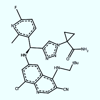 Cc1nc(F)ccc1[C@H](Nc1cc(Cl)c2ncc(C#N)c(NCC(C)(C)C)c2c1)c1cn(C2(C(N)=O)CC2)nn1